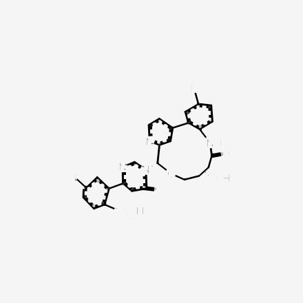 C[C@@H]1CCC[C@H](n2cnc(-c3cc(Cl)ccc3C(=O)O)cc2=O)c2cc(ccn2)-c2cc(F)ccc2NC1=O